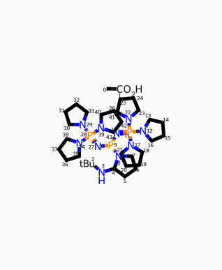 CC(=O)O.CC(C)(C)NC1CCCN1P(N=P(N1CCCC1)(N1CCCC1)N1CCCC1)N=P(N1CCCC1)(N1CCCC1)N1CCCC1